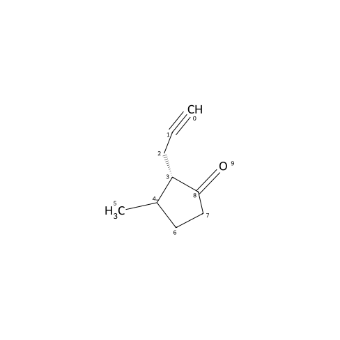 C#CC[C@H]1[C](C)CCC1=O